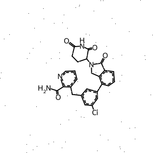 NC(=O)c1ncccc1Cc1cc(Cl)cc(-c2cccc3c2CN(C2CCC(=O)NC2=O)C3=O)c1